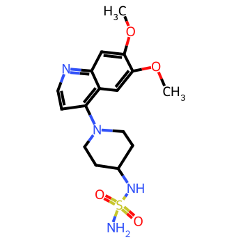 COc1cc2nccc(N3CCC(NS(N)(=O)=O)CC3)c2cc1OC